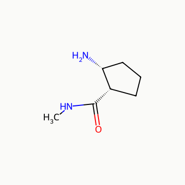 CNC(=O)[C@H]1CCC[C@H]1N